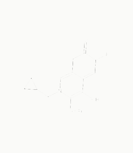 CCOC(=O)C1=C(O)C2=CC(F)C(=O)CC2=CN1CC1CC1